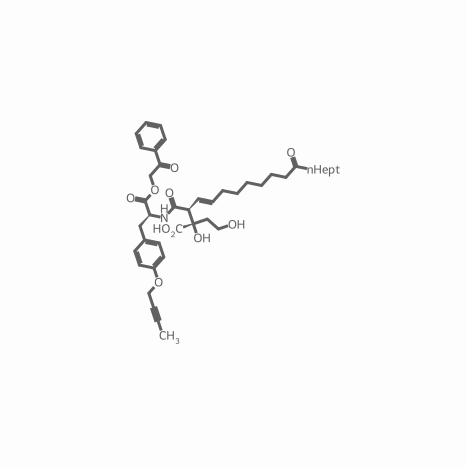 CC#CCOc1ccc(C[C@H](NC(=O)[C@@H](C=CCCCCCCC(=O)CCCCCCC)[C@@](O)(CCO)C(=O)O)C(=O)OCC(=O)c2ccccc2)cc1